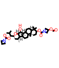 CC(C)[C@@H](OC(=O)N1CCC1)[C@H]1C[C@@H](C)[C@H]2[C@H](O1)[C@H](O)[C@@]1(C)[C@@H]3CC[C@H]4C(C)(C)[C@@H](OC(=O)N5CC(OC=O)C5)CC[C@@]45C[C@@]35CC[C@]21C